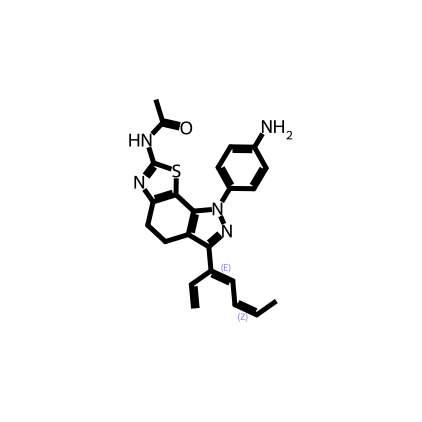 C=C/C(=C\C=C/C)c1nn(-c2ccc(N)cc2)c2c1CCc1nc(NC(C)=O)sc1-2